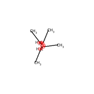 CCCCCCCCCCCCCCCCCC(=O)OCC(CC)(COCC(CC)(COC(=O)CCCCCCCCCCCCCCCCC)COC(=O)CCCCCCCCCCCCCCCCC)COC(=O)CCCCCCCCCCCCCCCCC